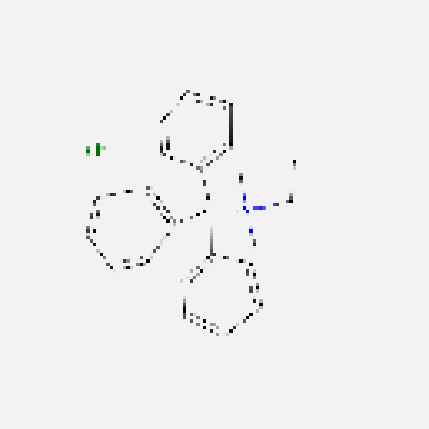 CCC[N+](C)(C)C(c1ccccc1)(c1ccccc1)c1ccccc1.[Cl-]